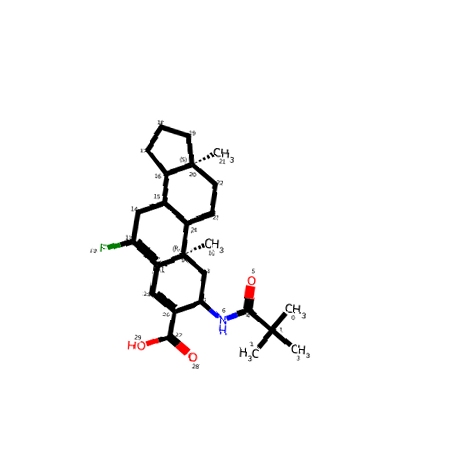 CC(C)(C)C(=O)NC1C[C@@]2(C)C(=C(F)CC3C4CCC[C@@]4(C)CCC32)C=C1C(=O)O